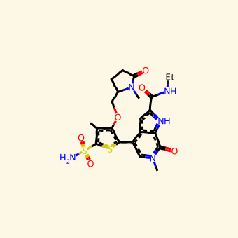 CCNC(=O)c1cc2c(-c3sc(S(N)(=O)=O)c(C)c3OCC3CCC(=O)N3C)cn(C)c(=O)c2[nH]1